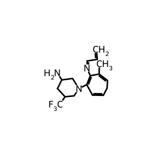 C=C/C=N\C1=C(N2CC(N)CC(C(F)(F)F)C2)C=CCC=C1C